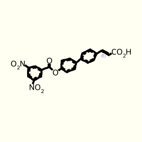 O=C(O)/C=C/c1ccc(-c2ccc(OC(=O)c3cc([N+](=O)[O-])cc([N+](=O)[O-])c3)cc2)cc1